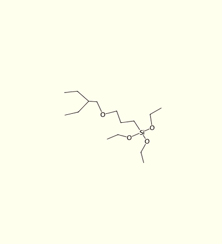 CCO[Si](CCCOCC(CC)CC)(OCC)OCC